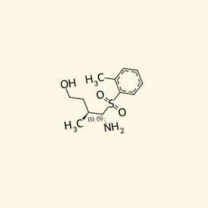 Cc1ccccc1S(=O)(=O)[C@H](N)[C@@H](C)CCO